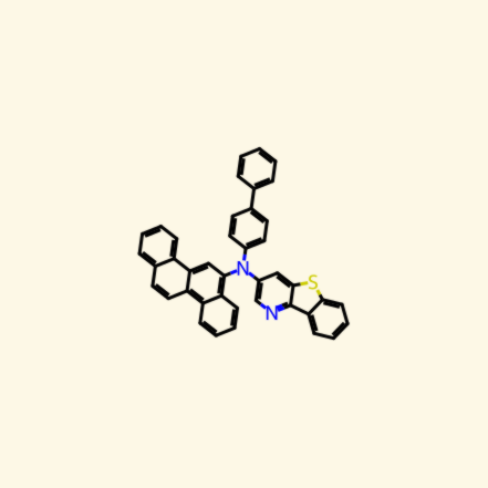 c1ccc(-c2ccc(N(c3cnc4c(c3)sc3ccccc34)c3cc4c5ccccc5ccc4c4ccccc34)cc2)cc1